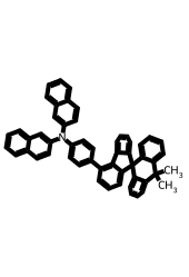 CC1(C)c2ccccc2C2(c3ccccc3-c3c(-c4ccc(N(c5ccc6ccccc6c5)c5ccc6ccccc6c5)cc4)cccc32)c2ccccc21